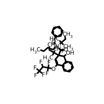 CCCC[N+](Oc1ccccc1)(C(=O)C1(C(C)(C)CC)C=C(OC(F)(F)C(F)C(F)(F)F)c2ccccc2C1O)C(C)(C)CC